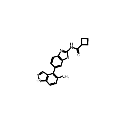 Cc1ccc2[nH]ncc2c1-c1ccc2nc(NC(=O)C3CCC3)sc2c1